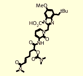 COc1cc(CC(C)(C)C)c2nc(Cn3cccc(NC(=O)C(CCC=CC(=O)N(C)C)OC(=O)N(C)C)c3=O)n(C(=O)O)c2c1